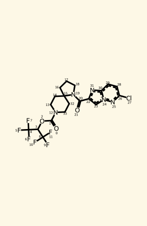 O=C(OC(C(F)(F)F)C(F)(F)F)N1CCC2(CCCN2C(=O)c2cn3nc(Cl)ccc3n2)CC1